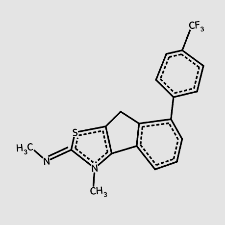 C/N=c1\sc2c(n1C)-c1cccc(-c3ccc(C(F)(F)F)cc3)c1C2